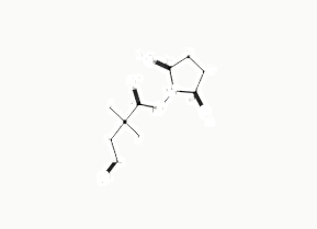 CC(C)(CC=O)C(=O)ON1C(=O)CCC1=O